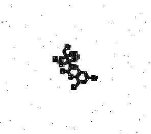 CC(C)(CBr)C(Br)(Br)OC(=O)Oc1c(Br)cc(Br)cc1Br